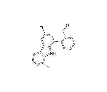 Cc1nccc2c1[nH]c1c(-c3ccccc3C=O)cc(Cl)cc12